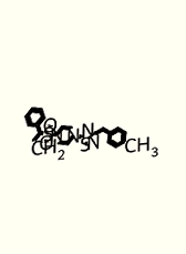 C=CC(c1ccccc1)S(=O)(=O)N1CCN(c2nc(Cc3ccc(C)cc3)ns2)CC1